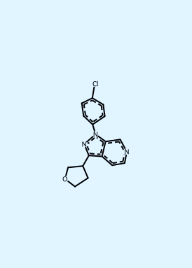 Clc1ccc(-n2nc(C3CCOC3)c3ccncc32)cc1